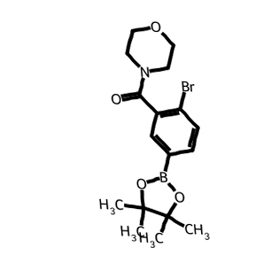 CC1(C)OB(c2ccc(Br)c(C(=O)N3CCOCC3)c2)OC1(C)C